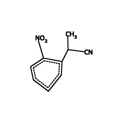 CC(C#N)c1ccccc1[N+](=O)[O-]